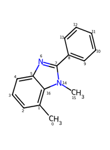 Cc1cccc2nc(-c3ccccc3)n(C)c12